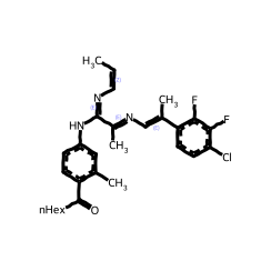 C\C=C/N=C(Nc1ccc(C(=O)CCCCCC)c(C)c1)\C(C)=N\C=C(/C)c1ccc(Cl)c(F)c1F